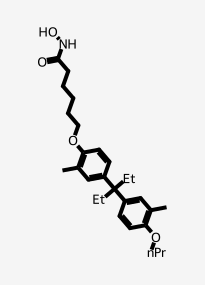 CCCOc1ccc(C(CC)(CC)c2ccc(OCCCCCC(=O)NO)c(C)c2)cc1C